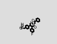 O=C(Cn1ncc(-c2ccc(C[SH](=O)=O)cc2)c(-c2ccc(F)cc2)c1=O)c1ccccc1